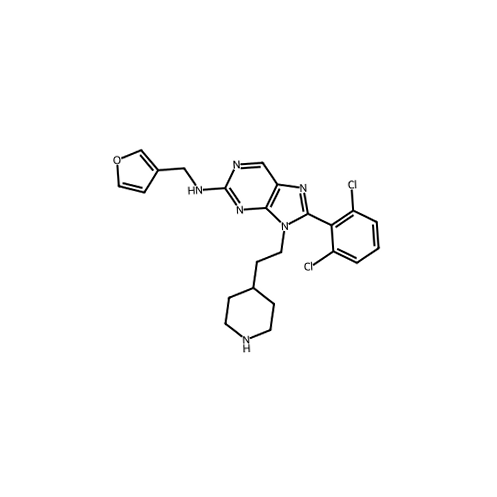 Clc1cccc(Cl)c1-c1nc2cnc(NCc3ccoc3)nc2n1CCC1CCNCC1